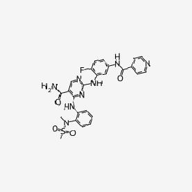 CN(c1ccccc1Nc1nc(Nc2cc(NC(=O)c3ccncc3)ccc2F)ncc1C(N)=O)S(C)(=O)=O